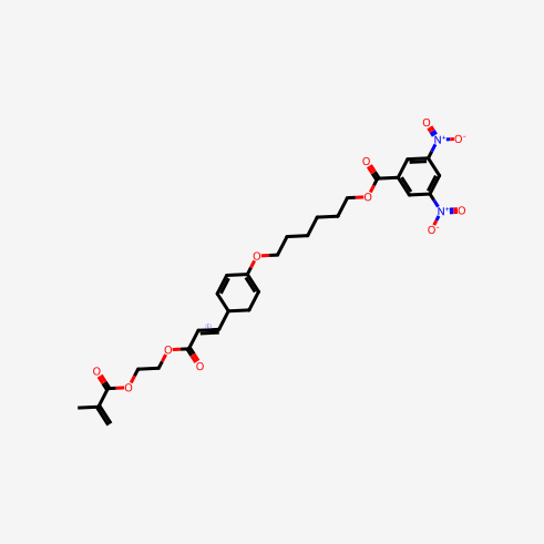 C=C(C)C(=O)OCCOC(=O)/C=C/C1C=CC(OCCCCCCOC(=O)c2cc([N+](=O)[O-])cc([N+](=O)[O-])c2)=CC1